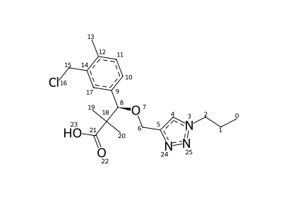 CCCn1cc(CO[C@H](c2ccc(C)c(CCl)c2)C(C)(C)C(=O)O)nn1